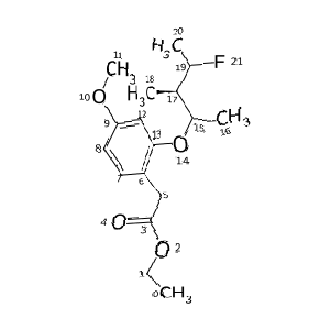 CCOC(=O)Cc1ccc(OC)cc1OC(C)[C@@H](C)C(C)F